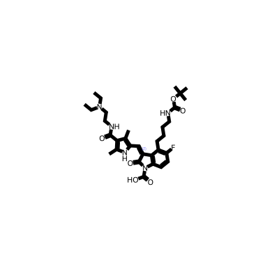 CCN(CC)CCNC(=O)c1c(C)[nH]c(/C=C2\C(=O)N(C(=O)O)c3ccc(F)c(CCCCNC(=O)OC(C)(C)C)c32)c1C